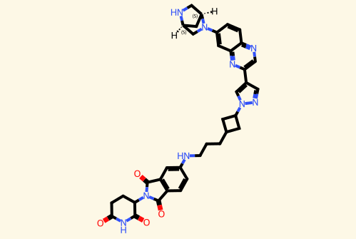 O=C1CCC(N2C(=O)c3ccc(NCCCC4CC(n5cc(-c6cnc7ccc(N8C[C@@H]9C[C@H]8CN9)cc7n6)cn5)C4)cc3C2=O)C(=O)N1